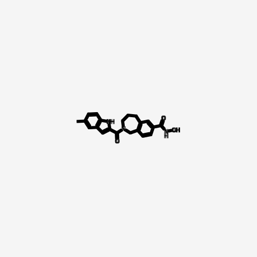 Cc1ccc2[nH]c(C(=O)N3CCCc4cc(C(=O)NO)ccc4C3)cc2c1